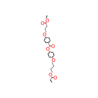 C=COC(=O)CCCOc1ccc(C(=O)Oc2ccc(OCCCCOC(=O)C=C)cc2)cc1